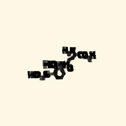 NC(CCC(=O)Nc1cccc(S(=O)(=O)O)c1O)C(=O)O